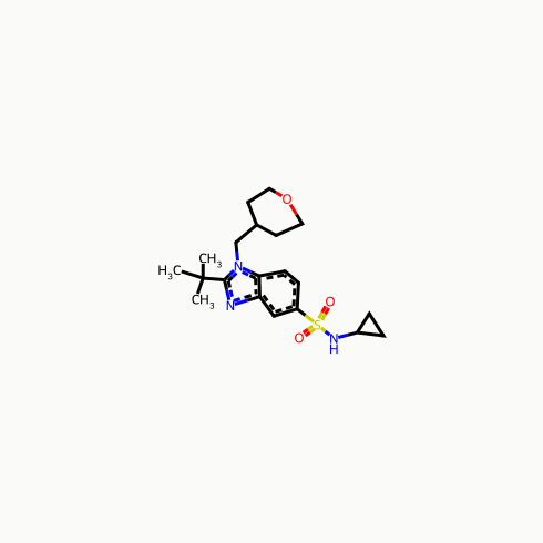 CC(C)(C)c1nc2cc(S(=O)(=O)NC3CC3)ccc2n1CC1CCOCC1